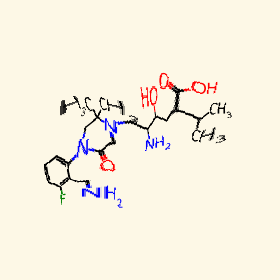 CC(C)C(CC(O)C(N)CN1CC(=O)N(c2cccc(F)c2CN)CC1(C)C)C(=O)O